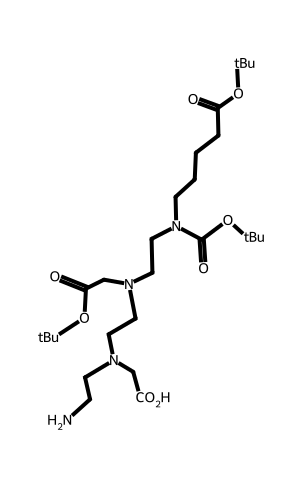 CC(C)(C)OC(=O)CCCCN(CCN(CCN(CCN)CC(=O)O)CC(=O)OC(C)(C)C)C(=O)OC(C)(C)C